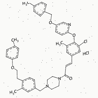 Cc1ccc(COc2ccc(Oc3c(C)cc(C=CC(=O)N4CCN(Cc5ccc(CCOc6ccc(C)cc6)c(C)c5)CC4)cc3Cl)nc2)cc1.Cl